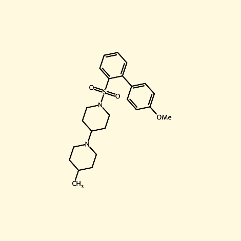 COc1ccc(-c2ccccc2S(=O)(=O)N2CCC(N3CCC(C)CC3)CC2)cc1